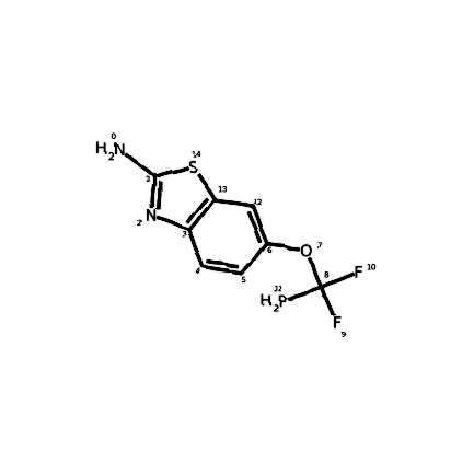 Nc1nc2ccc(OC(F)(F)P)cc2s1